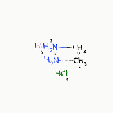 CN.CN.Cl.I